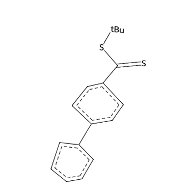 CC(C)(C)SC(=S)c1ccc(-c2ccccc2)cc1